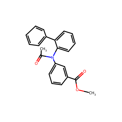 COC(=O)c1cccc(N(C(C)=O)c2ccccc2-c2ccccc2)c1